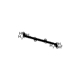 C[N+](C)(CCO)CCCCCCCCCCCOC(=O)CCCCCCCCCCC(=O)OCCCCCCCCCCC[N+](C)(C)CCO